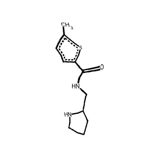 Cc1ccc(C(=O)NCC2CCCN2)s1